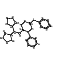 c1ccc(C2CN(Cc3ccncc3)CCN2OC(C2CCCO2)C2CCCO2)cc1